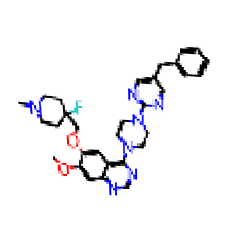 COc1cc2ncnc(N3CCN(c4ncc(Cc5ccccc5)cn4)CC3)c2cc1OCC1(F)CCN(C)CC1